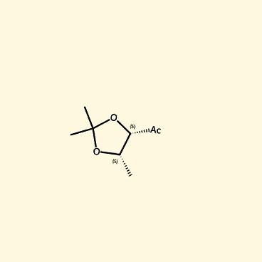 CC(=O)[C@H]1OC(C)(C)O[C@H]1C